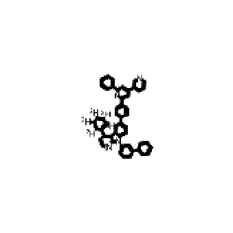 [2H]c1c([2H])c([2H])c(-c2ccnc3c2c2cc(-c4ccc(-c5cc(-c6cccnc6)cc(-c6ccccc6)n5)cc4)ccc2n3-c2cccc(-c3ccccc3)c2)c([2H])c1[2H]